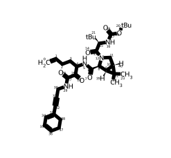 C=CCCC(NC(=O)[C@@H]1[C@H]2[C@@H](CN1C(=O)[C@@H](NC(=O)OC(C)(C)C)C(C)(C)C)C2(C)C)C(=O)C(=O)NCC#CC1=CC=CCC1